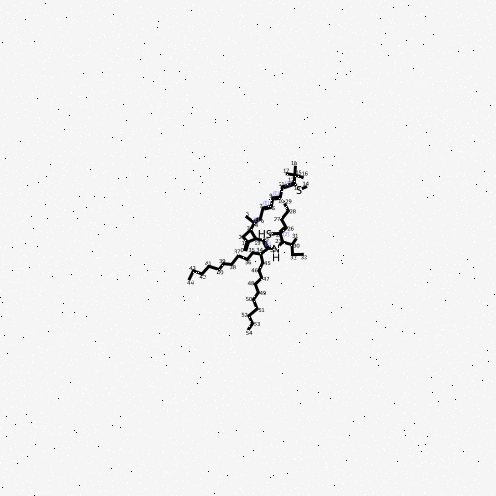 C=C1CC(/C(C)=C/C=C/C=C/C=C(\SC)C(C)(C)C)C1/C=C(/NC(/C(S)=C/CCC)C(C)CC)C(CCCCCCCCCC)CCCCCCCCCC